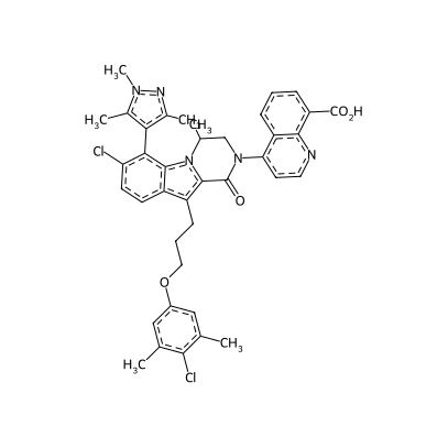 Cc1cc(OCCCc2c3n(c4c(-c5c(C)nn(C)c5C)c(Cl)ccc24)C(C)CN(c2ccnc4c(C(=O)O)cccc24)C3=O)cc(C)c1Cl